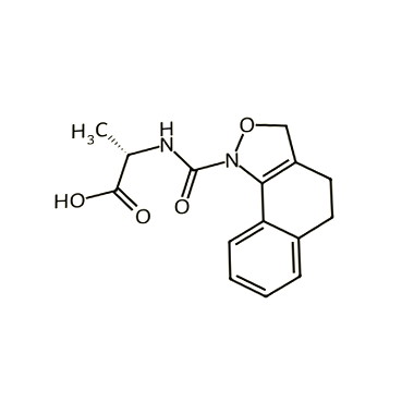 C[C@H](NC(=O)N1OCC2=C1c1ccccc1CC2)C(=O)O